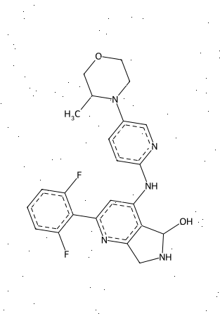 CC1COCCN1c1ccc(Nc2cc(-c3c(F)cccc3F)nc3c2C(O)NC3)nc1